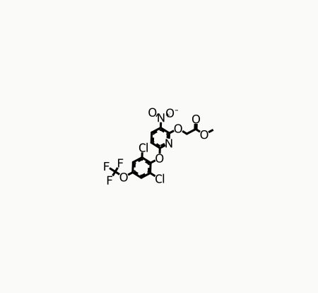 COC(=O)COc1nc(Oc2c(Cl)cc(OC(F)(F)F)cc2Cl)ccc1[N+](=O)[O-]